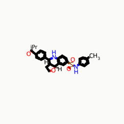 Cc1ccc(NS(=O)(=O)c2ccc3c(c2)[C@H]2OCC[C@H]2C(c2ccc(C(=O)C(C)C)cc2)N3)cc1